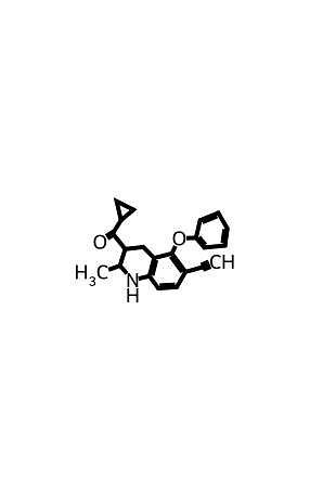 C#Cc1ccc2c(c1Oc1ccccc1)CC(C(=O)C1CC1)C(C)N2